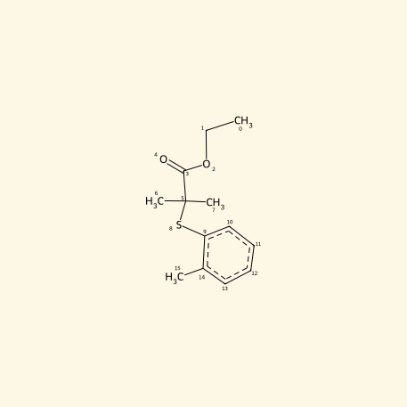 CCOC(=O)C(C)(C)Sc1ccccc1C